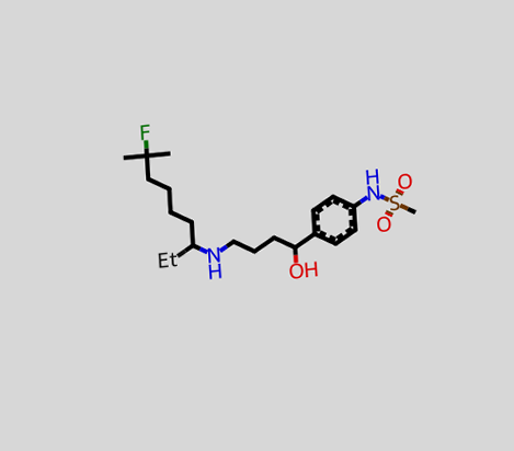 CCC(CCCCC(C)(C)F)NCCCC(O)c1ccc(NS(C)(=O)=O)cc1